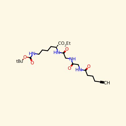 C#CCCCC(=O)NCC(=O)NCC(=O)N[C@@H](CCCCNC(=O)OC(C)(C)C)C(=O)OCC